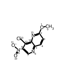 COc1ccc2ncc([N+](=O)[O-])c(Cl)c2n1